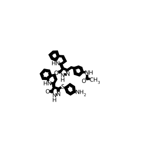 CC(=O)Nc1ccc(CC2=NNC(=O)C2=C2C=Cc3ccccc3N2)cc1.Nc1ccc(SC2=NNC(=O)C2=C2C=Cc3ccccc3N2)cc1